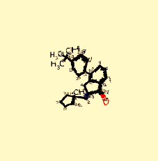 CC1(/C=C2\Cc3c(cccc3-c3ccc(C(C)(C)C)cc3)C2=O)CCCC1